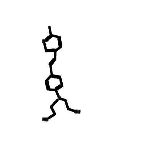 Cc1ccc(/C=C/c2ccc(N(CCO)CCO)cc2)cn1